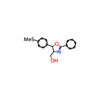 CSc1ccc(C2OC(c3ccccc3)=NC2CO)cc1